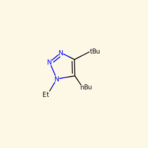 CCCCc1c(C(C)(C)C)nnn1CC